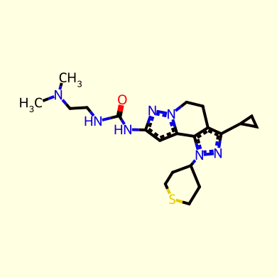 CN(C)CCNC(=O)Nc1cc2n(n1)CCc1c(C3CC3)nn(C3CCSCC3)c1-2